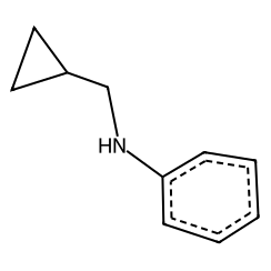 c1ccc(NCC2CC2)cc1